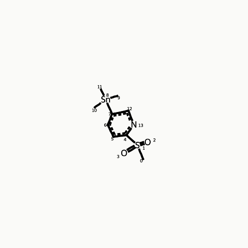 CS(=O)(=O)c1cc[c]([Sn]([CH3])([CH3])[CH3])cn1